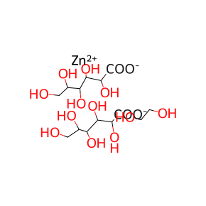 O=C([O-])C(O)C(O)C(O)C(O)CO.O=C([O-])C(O)C(O)C(O)C(O)CO.OCCO.[Zn+2]